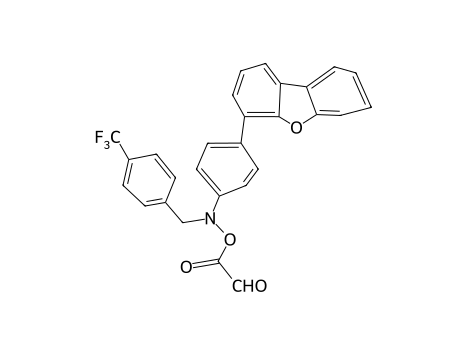 O=CC(=O)ON(Cc1ccc(C(F)(F)F)cc1)c1ccc(-c2cccc3c2oc2ccccc23)cc1